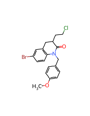 COc1ccc(CN2C(=O)C(CCCl)Cc3cc(Br)ccc32)cc1